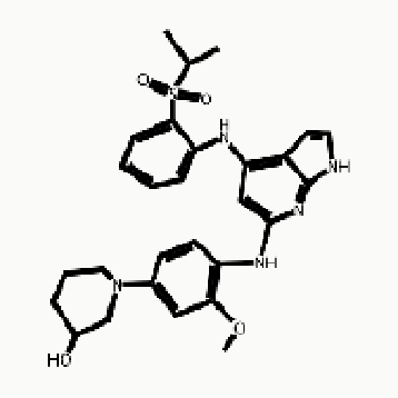 COc1cc(N2CCCC(O)C2)ccc1Nc1cc(Nc2ccccc2S(=O)(=O)C(C)C)c2cc[nH]c2n1